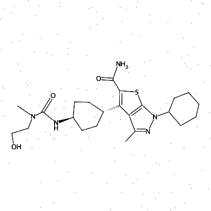 Cc1nn(C2CCCCC2)c2sc(C(N)=O)c([C@H]3CC[C@H](NC(=O)N(C)CCO)CC3)c12